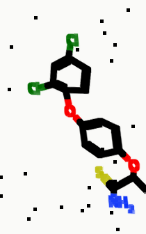 CC(Oc1ccc(Oc2ccc(Cl)cc2Cl)cc1)C(N)=S